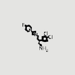 NCC[C@@H](CCN1CC(N2CCC(F)CC2)C1)c1ccc(Cl)c(Cl)c1